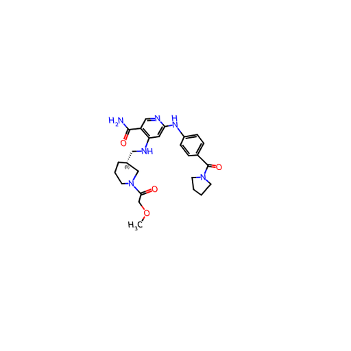 COCC(=O)N1CCC[C@H](CNc2cc(Nc3ccc(C(=O)N4CCCC4)cc3)ncc2C(N)=O)C1